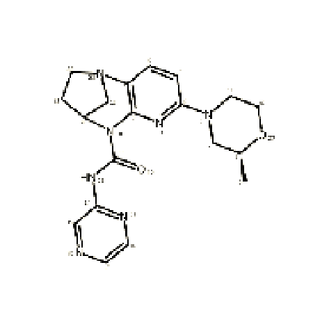 C[C@H]1CN(c2ccc3c(n2)N(C(=O)Nc2cnccn2)C2CCN3C2)CCO1